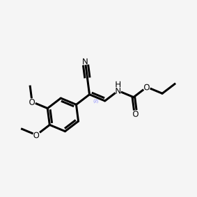 CCOC(=O)N/C=C(\C#N)c1ccc(OC)c(OC)c1